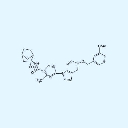 COc1cccc(COc2ccc3c(ccn3-c3ncc(C(=O)NC4(C(=O)O)CC5CCC4C5)c(C(F)(F)F)n3)c2)c1